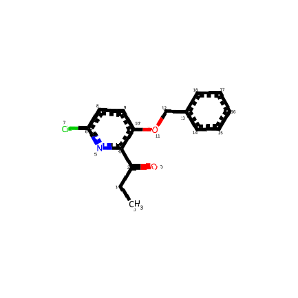 CCC(=O)c1nc(Cl)ccc1OCc1ccccc1